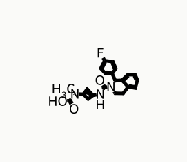 CN(C(=O)O)C12CC(NC(=O)N3CCc4ccccc4C3c3ccc(F)cc3)(C1)C2